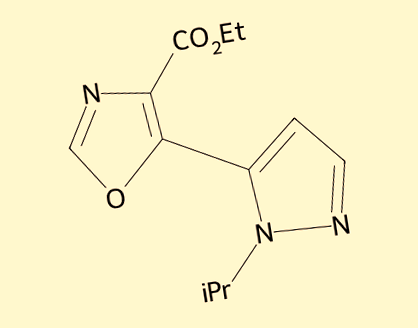 CCOC(=O)c1ncoc1-c1ccnn1C(C)C